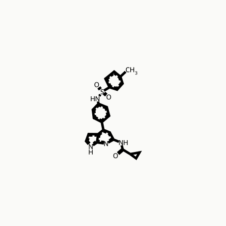 Cc1ccc(S(=O)(=O)Nc2ccc(-c3cc(NC(=O)C4CC4)nc4[nH]ccc34)cc2)cc1